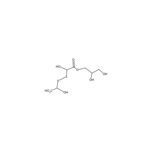 O=C(O)C(O)SSC(O)C(=O)OCC(O)CO